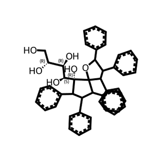 OC[C@@H](O)[C@@H](O)[C@H](O)[C@]1(O)C(c2ccccc2)C(c2ccccc2)C(c2ccccc2)C12OC(c1ccccc1)C(c1ccccc1)C2c1ccccc1